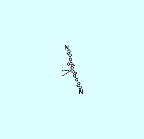 CCCCCCCCC1(CCCCCCCC)c2cc3c(cc2-c2cc4c(cc21)-c1c(cc(-c2ccc(-c5ccc6c(c5)C(C)(C)c5cc(C#N)ccc5-6)cc2)c2ccccc12)C4(C)C)C(C)(C)c1cc(-c2ccc(-c4ccc5c(c4)C(C)(C)c4cc(C#N)ccc4-5)cc2)ccc1-3